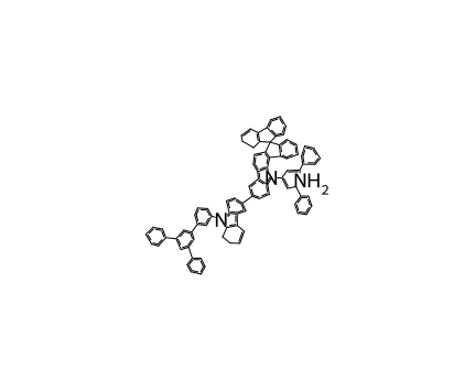 N/C(=C\C(=C/Cc1ccccc1)n1c2ccc(-c3ccc4c(c3)c3c(n4-c4cccc(-c5cc(-c6ccccc6)cc(-c6ccccc6)c5)c4)CCC=C3)cc2c2ccc3c(c21)-c1ccccc1C31C2=C(C=CCC2)c2ccccc21)c1ccccc1